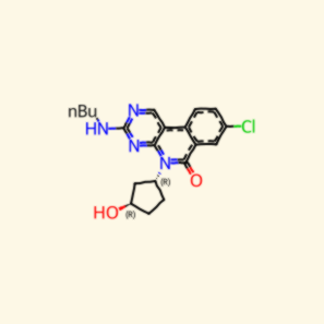 CCCCNc1ncc2c3ccc(Cl)cc3c(=O)n([C@@H]3CC[C@@H](O)C3)c2n1